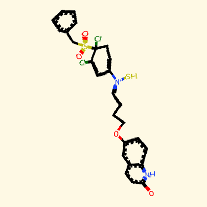 O=c1ccc2cc(OCCCC=[N+](S)C3=CCC(Cl)(S(=O)(=O)Cc4ccccc4)C(Cl)=C3)ccc2[nH]1